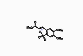 COC(=O)/C=C/c1cc(OC)c(OC)cc1S(=O)(=O)Cl